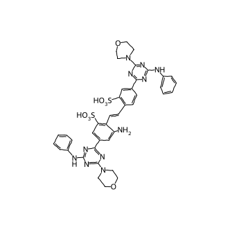 Nc1cc(-c2nc(Nc3ccccc3)nc(N3CCOCC3)n2)cc(S(=O)(=O)O)c1C=Cc1ccc(-c2nc(Nc3ccccc3)nc(N3CCOCC3)n2)cc1S(=O)(=O)O